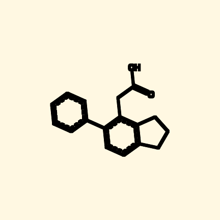 O=C(O)Cc1c(-c2ccccc2)ccc2c1CCC2